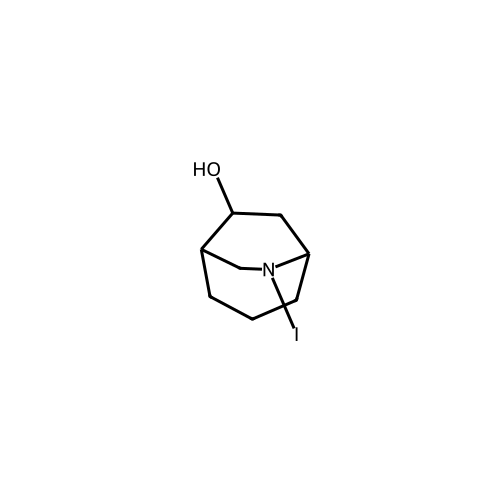 OC1CC2CCCC1CN2I